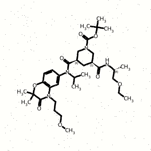 CCOC[C@@H](C)NC(=O)[C@H]1C[C@@H](C(=O)N(c2ccc3c(c2)N(CCCOC)C(=O)C(C)(C)O3)C(C)C)CN(C(=O)OC(C)(C)C)C1